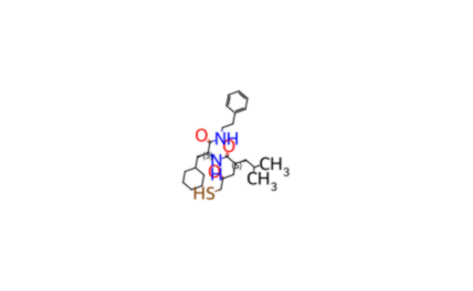 CC(C)C[C@@H](CC(=O)CS)C(=O)N[C@@H](CC1CCCCC1)C(=O)NCCc1ccccc1